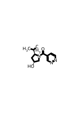 CC(C)[C@@H]1C[C@@H](O)CN1C(=O)c1ccnnc1